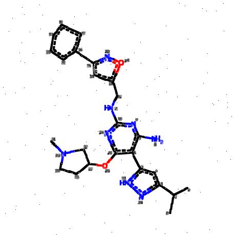 CC(C)c1cc(-c2c(N)nc(NCc3cc(-c4ccccc4)no3)nc2OC2CCN(C)C2)[nH]n1